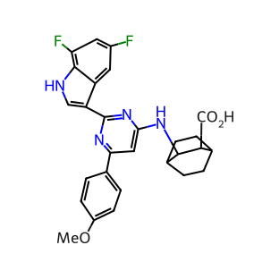 COc1ccc(-c2cc(NC3C4CCC(CC4)C3C(=O)O)nc(-c3c[nH]c4c(F)cc(F)cc34)n2)cc1